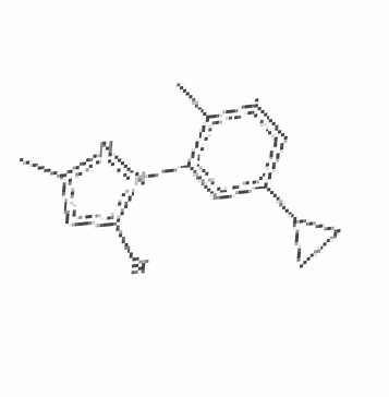 Cc1cc(Br)n(-c2cc(C3CC3)c[c]c2C)n1